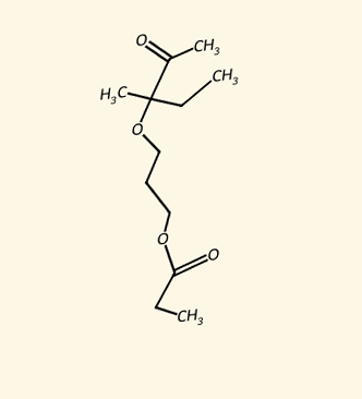 CCC(=O)OCCCOC(C)(CC)C(C)=O